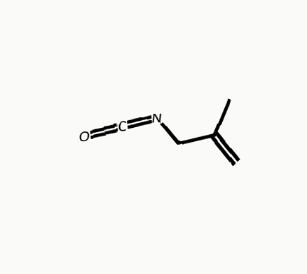 C=C(C)CN=C=O